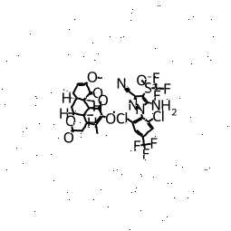 COC1=C[C@@H](C)[C@@H]2C[C@H]3OC(=O)C[C@H]4C(C)=C(OC)C(=O)[C@H]([C@@]2(C)C1=O)[C@@]34C.N#Cc1nn(-c2c(Cl)cc(C(F)(F)F)cc2Cl)c(N)c1[S+]([O-])C(F)(F)F